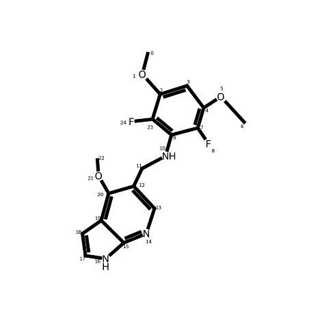 COc1cc(OC)c(F)c(NCc2cnc3[nH]ccc3c2OC)c1F